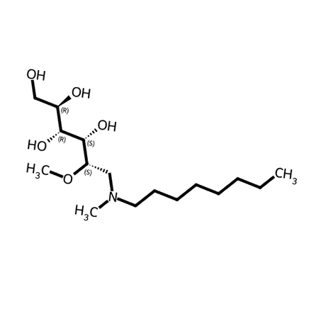 CCCCCCCCN(C)C[C@H](OC)[C@@H](O)[C@H](O)[C@H](O)CO